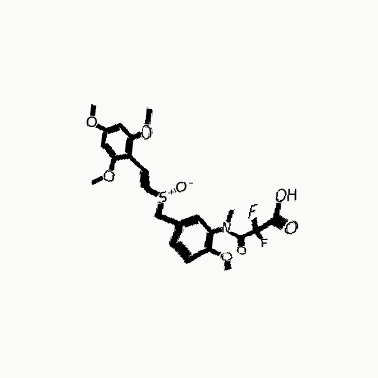 COc1cc(OC)c(C=C[S+]([O-])Cc2ccc(OC)c(N(C)C(=O)C(F)(F)C(=O)O)c2)c(OC)c1